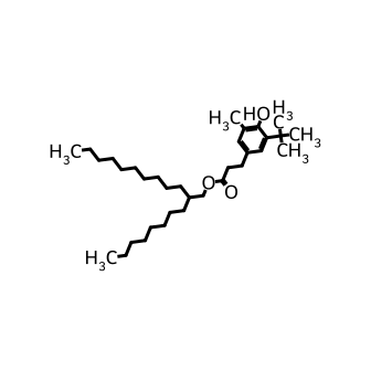 CCCCCCCCCCC(CCCCCCCC)COC(=O)CCc1cc(C)c(O)c(C(C)(C)C)c1